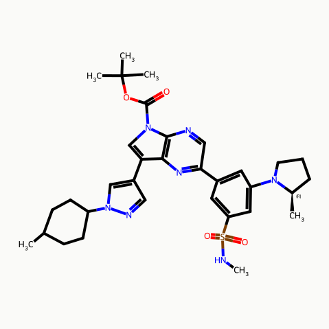 CNS(=O)(=O)c1cc(-c2cnc3c(n2)c(-c2cnn(C4CCC(C)CC4)c2)cn3C(=O)OC(C)(C)C)cc(N2CCC[C@H]2C)c1